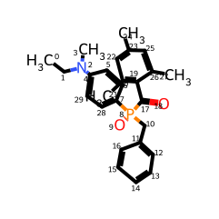 CCN(C)c1ccc(P(=O)(Cc2ccccc2)C(=O)c2c(C)cc(C)cc2C)cc1